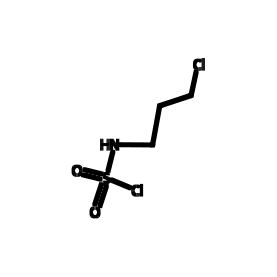 O=S(=O)(Cl)NCCCCl